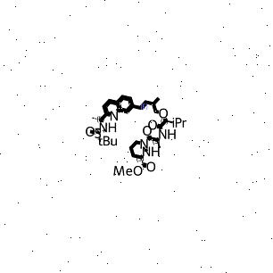 COC(=O)[C@@H]1CCCN(C(=O)[C@H](C)NC(=O)[C@@H](OCC(C)/C=C/c2ccc3ccc([C@@H](C)N[S@@+]([O-])C(C)(C)C)nc3c2)C(C)C)N1